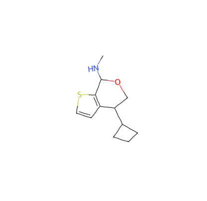 CNC1OCC(C2CCC2)c2ccsc21